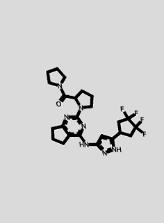 O=C(C1CCCN1c1nc2c(c(Nc3cc(C4CC(F)(F)C(F)(F)C4)[nH]n3)n1)CCC2)N1CCCC1